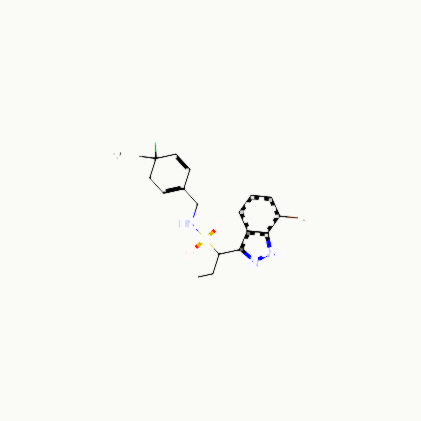 COC1(Cl)C=CC(CNS(=O)(=O)C(CC(F)(F)F)c2n[nH]c3c(Br)cccc23)=CC1